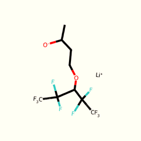 CC([O-])CCOC(C(F)(F)C(F)(F)F)C(F)(F)C(F)(F)F.[Li+]